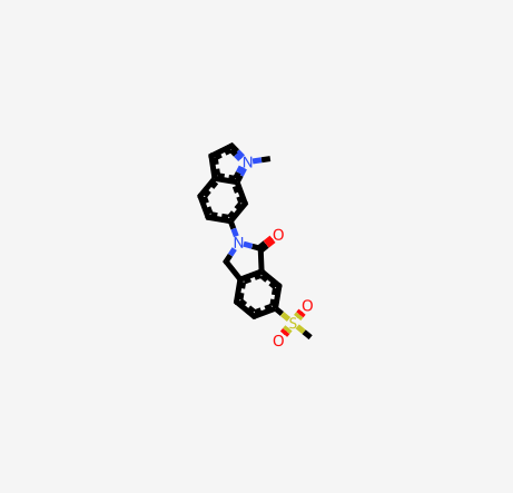 Cn1ccc2ccc(N3Cc4ccc(S(C)(=O)=O)cc4C3=O)cc21